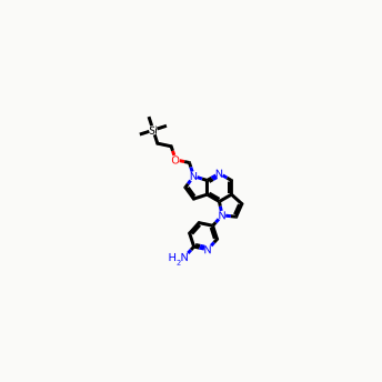 C[Si](C)(C)CCOCn1ccc2c1ncc1ccn(-c3ccc(N)nc3)c12